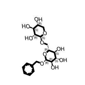 O[C@@H]1[C@@H](O)[C@H](OCc2ccccc2)O[C@H](CO[C@@H]2OC[C@@H](O)[C@H](O)[C@H]2O)[C@H]1O